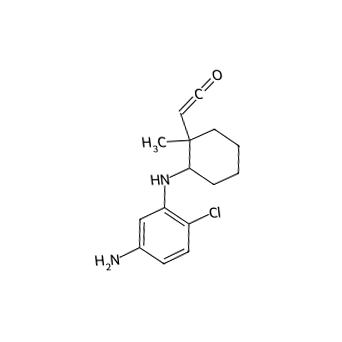 CC1(C=C=O)CCCCC1Nc1cc(N)ccc1Cl